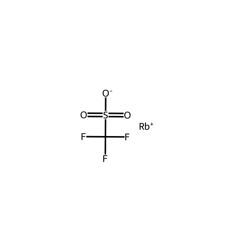 O=S(=O)([O-])C(F)(F)F.[Rb+]